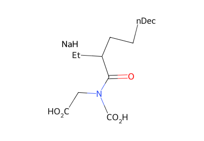 CCCCCCCCCCCCC(CC)C(=O)N(CC(=O)O)C(=O)O.[NaH]